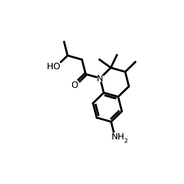 CC(O)CC(=O)N1c2ccc(N)cc2CC(C)C1(C)C